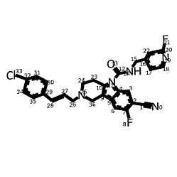 N#Cc1cc2c(cc1F)c1c(n2C(=O)NCc2ccnc(F)c2)CCN(CC=Cc2ccc(Cl)cc2)C1